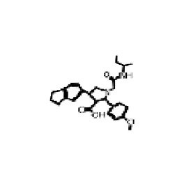 CCC(C)NC(=O)CN1CC(c2ccc3c(c2)CCC3)C(C(=O)O)C1c1ccc(OC)cc1